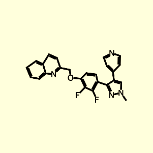 Cn1cc(-c2ccncc2)c(-c2ccc(OCc3ccc4ccccc4n3)c(F)c2F)n1